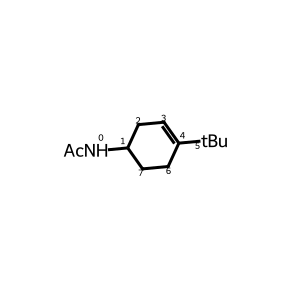 CC(=O)NC1CC=C(C(C)(C)C)CC1